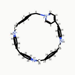 c1cc2ccc1C[n+]1ccc(cc1)-c1cc[n+](cc1)Cc1ccc(cc1)C[n+]1ccc(cc1)-c1cc[n+](cc1)C2